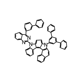 c1ccc(-c2cccc(-c3nc(-n4c5ccccc5c5c6c7c8ccccc8ccc7n(-c7cc(-c8ccccc8)cc(-c8ccccc8)c7)c6ccc54)nc4ccccc34)c2)cc1